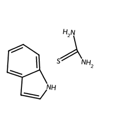 NC(N)=S.c1ccc2[nH]ccc2c1